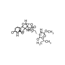 COC(=O)N[C@@H](CCO[P@@]1(=O)OC2[C@H]3O[C@@H](n4ccc(=O)[nH]c4=O)[C@](C)(N)[C@@]23O1)C(=O)OC(C)C